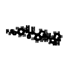 [2H]C([2H])(c1c[nH]c2ncccc12)N1CCc2c(NC(=O)Nc3ccc(OC(F)(F)F)cc3)cccc21